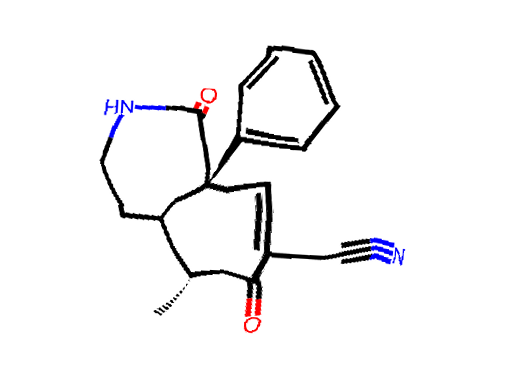 C[C@H]1C(=O)C(C#N)=C[C@@]2(c3ccccc3)C(=O)NCCC12